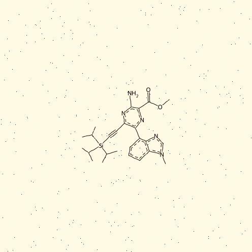 COC(=O)c1nc(-c2cccc3c2ncn3C)c(C#C[Si](C(C)C)(C(C)C)C(C)C)nc1N